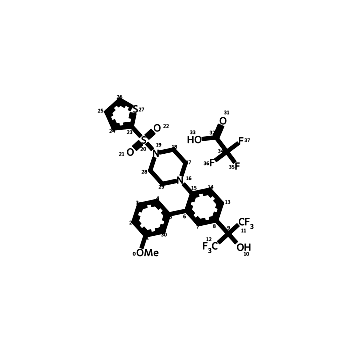 COc1cccc(-c2cc(C(O)(C(F)(F)F)C(F)(F)F)ccc2N2CCN(S(=O)(=O)c3cccs3)CC2)c1.O=C(O)C(F)(F)F